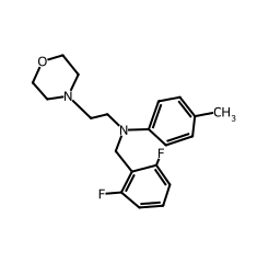 Cc1ccc(N(CCN2CCOCC2)Cc2c(F)cccc2F)cc1